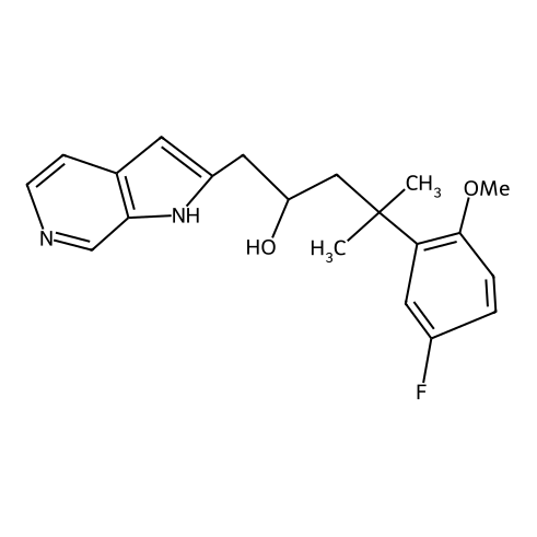 COc1ccc(F)cc1C(C)(C)CC(O)Cc1cc2ccncc2[nH]1